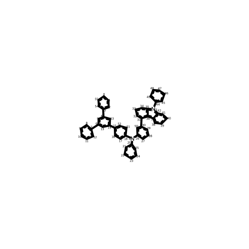 c1ccc(-c2cc(-c3ccccc3)cc(-c3ccc(N(c4ccccc4)c4cccc(-c5cccc6c5c5ccccc5n6-c5ccccc5)c4)cc3)c2)cc1